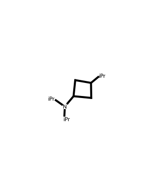 CC(C)C1CC(N(C(C)C)C(C)C)C1